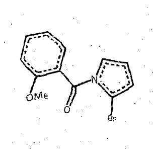 COc1ccccc1C(=O)n1cccc1Br